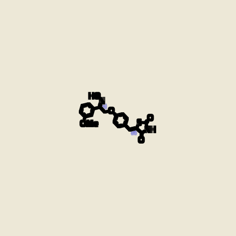 COc1cccc(/C(COc2ccc(/C=C3\SC(=O)NC3=O)cc2)=N\O)c1